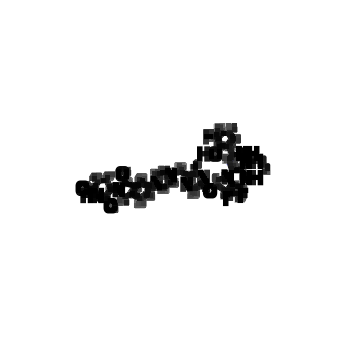 Cc1nc(OC2CN3C(/C=C(\N)c4cccc(F)c4O)=C(N)NCC3(C(F)F)C2)cnc1CN1CCN(c2ccc3c(c2)C(=O)N(C2CCC(=O)NC2=O)C3)CC1